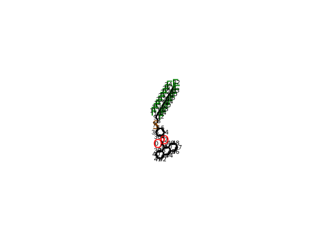 O=C(Oc1ccc(SCCC(F)(F)C(F)(F)C(F)(F)C(F)(F)C(F)(F)C(F)(F)C(F)(F)C(F)(F)F)cc1)c1c2ccccc2cc2ccccc12